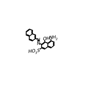 Nc1cccc2cc(S(=O)(=O)O)c(N=Nc3ccc4ccccc4c3)c(O)c12